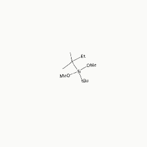 CCC(C)(C)[Si](OC)(OC)C(C)(C)C